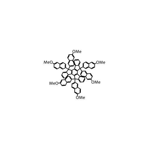 COc1ccc2cc(C3(c4ccc5cc(OC)ccc5c4)c4ccccc4-c4c3c3c(c5c4C(c4ccc6cc(OC)ccc6c4)(c4ccc6cc(OC)ccc6c4)c4ccccc4-5)C(c4ccc5cc(OC)ccc5c4)(c4ccc5cc(OC)ccc5c4)c4ccccc4-3)ccc2c1